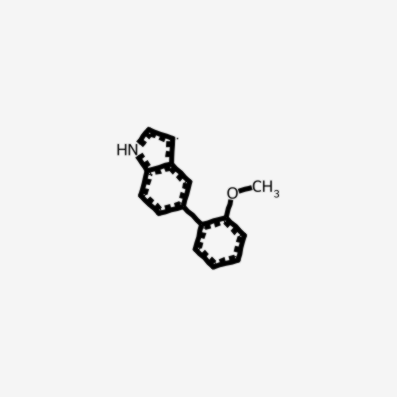 COc1ccccc1-c1ccc2[nH]c[c]c2c1